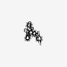 CN1CCCN(c2nc3c(cc2F)c(=O)c(C(=O)N2CCOCC2)c2sc4ccccc4n23)CC1